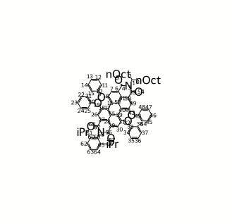 CCCCCCCCC(CCCCCCCC)N1C(=O)c2cc(Oc3ccccc3)c3c4c(Oc5ccccc5)cc5c6c(cc(Oc7ccccc7)c(c7c(Oc8ccccc8)cc(c2c37)C1=O)c64)C(=O)N(c1c(C(C)C)cccc1C(C)C)C5=O